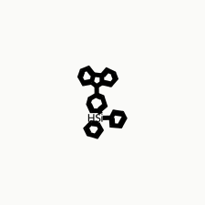 C1=CC([SiH](c2ccccc2)c2ccccc2)=CC=C(C2c3ccccc3-c3ccccc32)C1